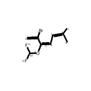 C=C(Br)/C(=C\C=C(C)C)OC(F)F